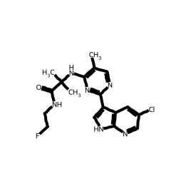 Cc1cnc(-c2c[nH]c3ncc(Cl)cc23)nc1NC(C)(C)C(=O)NCCF